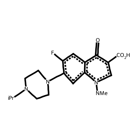 CNn1cc(C(=O)O)c(=O)c2cc(F)c(N3CCN(C(C)C)CC3)cc21